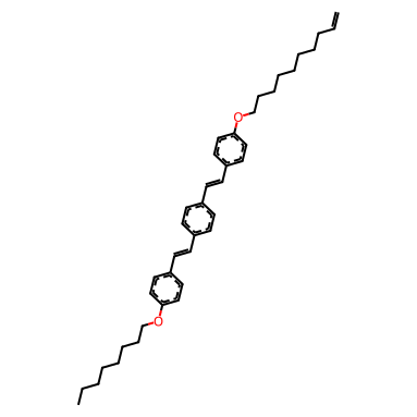 C=CCCCCCCCCOc1ccc(C=Cc2ccc(C=Cc3ccc(OCCCCCCCC)cc3)cc2)cc1